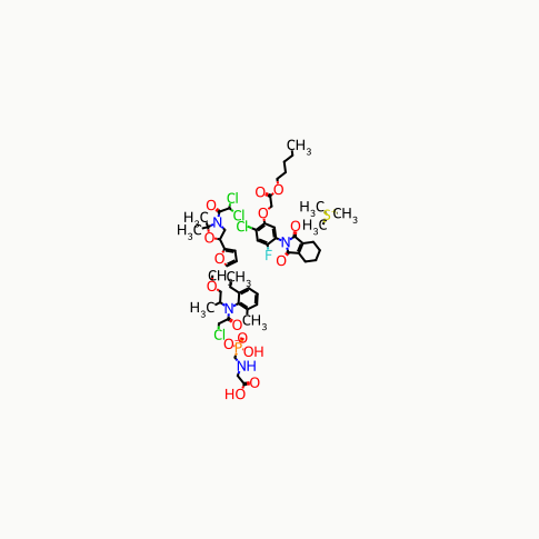 CC1(C)OC(c2ccco2)CN1C(=O)C(Cl)Cl.CCCCCOC(=O)COc1cc(N2C(=O)C3=C(CCCC3)C2=O)c(F)cc1Cl.CCc1cccc(C)c1N(C(=O)CCl)C(C)COC.C[S+](C)C.O=C(O)CNCP(=O)([O-])O